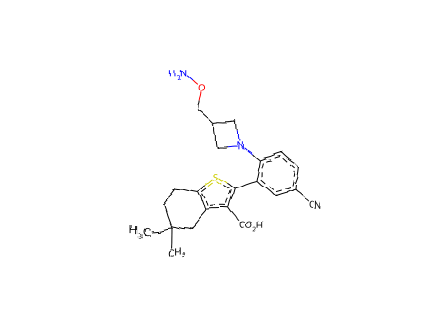 CC1(C)CCc2sc(-c3cc(C#N)ccc3N3CC(CON)C3)c(C(=O)O)c2C1